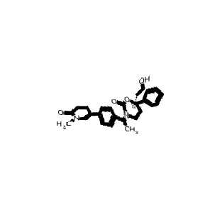 CC(c1ccc(-c2ccc(=O)n(C)c2)cc1)N1CC[C@](CCO)(c2ccccc2)OC1=O